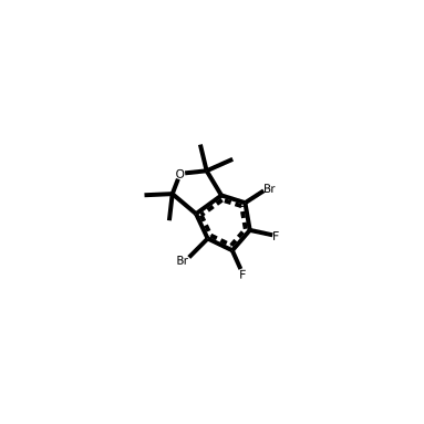 CC1(C)OC(C)(C)c2c(Br)c(F)c(F)c(Br)c21